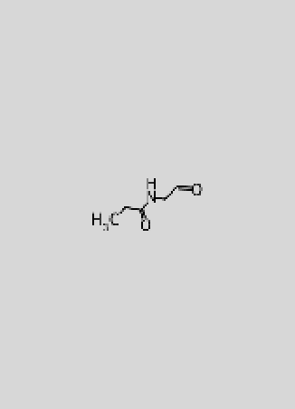 CCC(=O)NCC=O